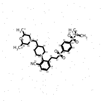 CC1CN(CC2CCN(c3c(C#N)cccc3CCS(=O)(=O)c3ccc(S(=O)(=O)N(C)C)cc3)CC2)CC(C)O1